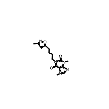 Cc1cc(CCCCn2c(=O)c3c(ncn3C)n(C)c2=O)on1